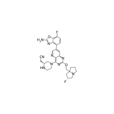 N#CC[C@H]1CN(c2nc(OCC34CCCN3C[C@H](F)C4)nc3cc(-c4ccc(F)c5oc(N)nc45)cnc23)CCN1